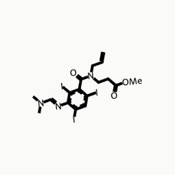 C=CCN(CCC(=O)OC)C(=O)c1c(I)cc(I)c(N=CN(C)C)c1I